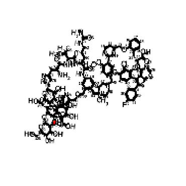 COc1ccccc1-c1nccc(COc2ccccc2C[C@@H](Oc2ncnc3sc(-c4ccc(F)cc4)c(-c4ccc(OCCN5CC[N+](C)(Cc6ccc(NC(=O)C(CCCNC(N)=O)NC(=O)C(NC(=O)C(N)Cc7cn([C@@H]8O[C@H](CO)[C@@H](O[C@@H]9O[C@H](CO)[C@H](O)[C@H](O)[C@H]9O)[C@H](O)[C@H]8O)nn7)C(C)C)cc6COCc6cn([C@H]7O[C@@H](CO)[C@H](O[C@H]8O[C@@H](CO)[C@@H](O)[C@@H](O)[C@@H]8O)[C@@H](O)[C@@H]7O)nn6)CC5)c(Cl)c4C)c23)C(=O)O)n1